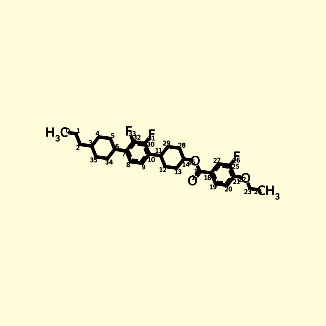 CCCC1CCC(c2ccc(C3CCC(OC(=O)c4ccc(OCC)c(F)c4)CC3)c(F)c2F)CC1